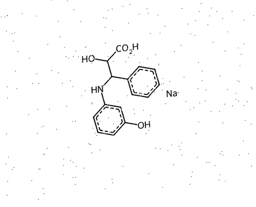 O=C(O)C(O)C(Nc1cccc(O)c1)c1ccccc1.[Na]